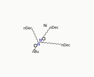 CCCC/C=C/c1cccc(/N=C(CCCCCCCCCCCCCCCCCCCC)/C(/C=C/CCCCCCCCCCCCCCCCCCCCCC)=N/c2cccc(CCCCCCCCCCCCCCCCC)c2)c1.[Ni]